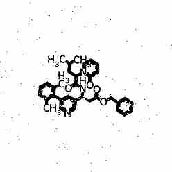 Cc1cccc(C)c1-c1cncc([C@H](CC(=O)OCc2ccccc2)NC(=O)C(CC(C)C)n2ccccc2=O)c1